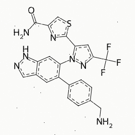 NCc1ccc(-c2cc3cn[nH]c3cc2-n2nc(C(F)(F)F)cc2-c2nc(C(N)=O)cs2)cc1